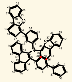 c1ccc(-c2ccc(-c3c(N(c4cccc(-c5cccc6c5oc5ccccc56)c4)c4cccc5c4sc4ccccc45)c4ccccc4c4ccccc34)cc2)cc1